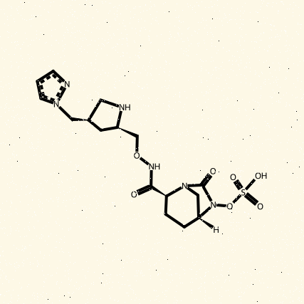 O=C(NOC[C@H]1C[C@@H](Cn2cccn2)CN1)[C@@H]1CC[C@@H]2CN1C(=O)N2OS(=O)(=O)O